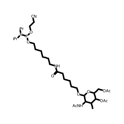 CC(=O)NC1C(OCCCCCC(=O)NCCCCCCOP(OCCC#N)N(C(C)C)C(C)C)OC(COC(C)=O)C(OC(C)=O)C1C